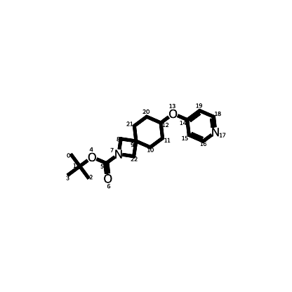 CC(C)(C)OC(=O)N1CC2(CCC(Oc3ccncc3)CC2)C1